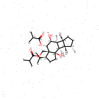 CC(C)C(=O)OC[C@@]12[C@H](OC(=O)C(C)C)[C@@H](O)[C@@]3(C)[C@@H]4CC[C@H](C)[C@@H]4[C@H]3[C@]1(O)CC[C@H]2C(C)C